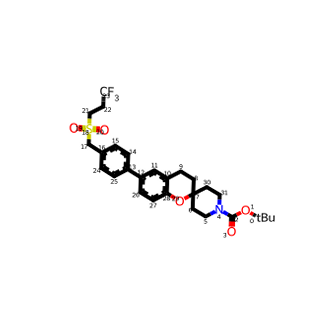 CC(C)(C)OC(=O)N1CCC2(CCc3cc(-c4ccc(CS(=O)(=O)CCC(F)(F)F)cc4)ccc3O2)CC1